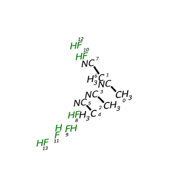 CC#N.CC#N.CC#N.CC#N.F.F.F.F.F.F